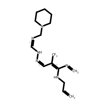 C=CCN/C(N=C)=C(\C=N/N/C=N\CN1CCCCC1)C(F)(F)F